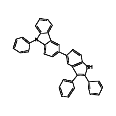 c1ccc(-c2[nH]c3ccc(-c4ccc5c(c4)c4ccccc4n5-c4ccccc4)cc3c2-c2ccccc2)cc1